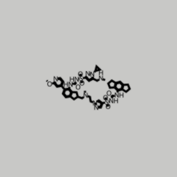 CNCc1cc(S(=O)(=O)NC(=O)Nc2c(-c3ccnc(OC)c3)ccc3c2CC(CN(C)CCn2cc(S(=O)(=O)NC(=O)Nc4c5c(cc6c4CCC6)CCC5)cn2)C3)nn1C1CC1